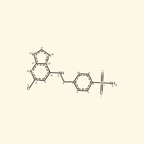 NS(=O)(=O)c1ccc(CNc2cc(Cl)nc3ncnn23)cc1